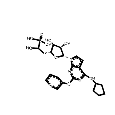 O=P(O)(O)C(O)C[C@H]1O[C@@H](n2ccc3c(NC4CCCC4)nc(Oc4cccnc4)nc32)[C@H](O)[C@@H]1O